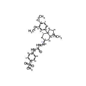 COc1ccc(C23CC/C(=N\NC(=O)Nc4ccc(S(C)(=O)=O)cc4)CC2N(C)CC3)cc1OC